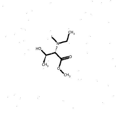 CCN(I)[C@H](C(=O)OC)[C@@H](C)O